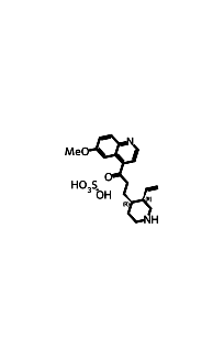 C=C[C@H]1CNCC[C@H]1CCC(=O)c1ccnc2ccc(OC)cc12.O=S(=O)(O)O